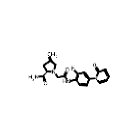 C=C1[CH][C@H](C(N)=O)N(CC(=O)Nc2ccc(-n3ccccc3=O)cc2F)C1